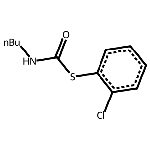 CCCCNC(=O)Sc1ccccc1Cl